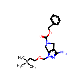 C[Si](C)(C)CCOCn1nc(N)c2c1CN(C(=O)OCc1ccccc1)C2